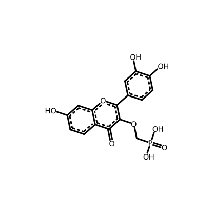 O=c1c(OCP(=O)(O)O)c(-c2ccc(O)c(O)c2)oc2cc(O)ccc12